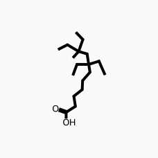 CCC(C)(CC)CC(CC)(CC)CCCCCC(=O)O